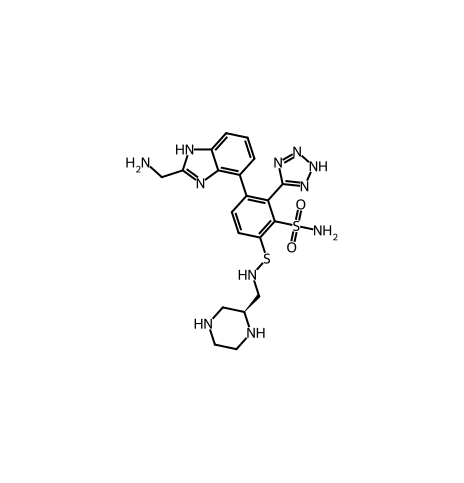 NCc1nc2c(-c3ccc(SNC[C@@H]4CNCCN4)c(S(N)(=O)=O)c3-c3nn[nH]n3)cccc2[nH]1